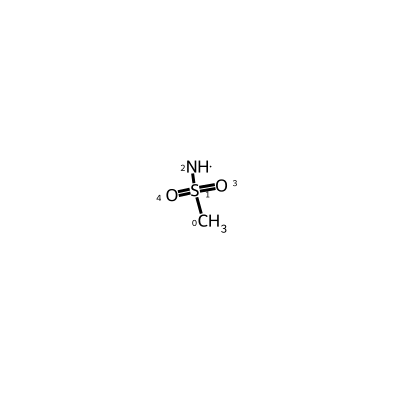 CS([NH])(=O)=O